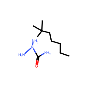 CCCCCC(C)(C)C.NC(=O)N(N)N